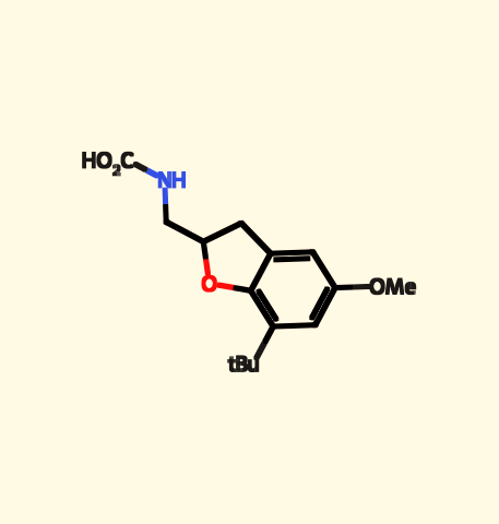 COc1cc2c(c(C(C)(C)C)c1)OC(CNC(=O)O)C2